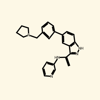 C=C(Nc1cccnc1)c1n[nH]c2ccc(-c3cccc(CN4CCCC4)c3)cc12